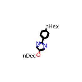 CCCCCCCCCCOc1cnc(-c2ccc(CCCCCC)cc2)nc1